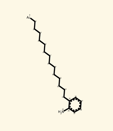 CC(=O)CCCCCCCCCCCCCCc1ccccc1N